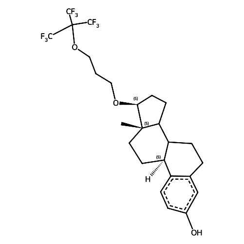 C[C@]12CC[C@@H]3c4ccc(O)cc4CCC3C1CC[C@@H]2OCCCOC(C(F)(F)F)(C(F)(F)F)C(F)(F)F